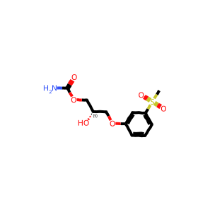 CS(=O)(=O)c1cccc(OC[C@H](O)COC(N)=O)c1